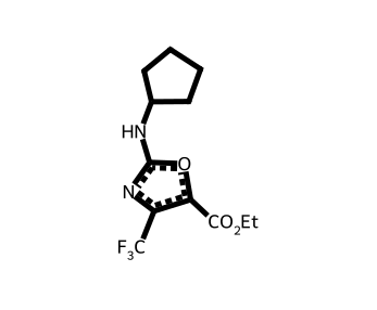 CCOC(=O)c1oc(NC2CCCC2)nc1C(F)(F)F